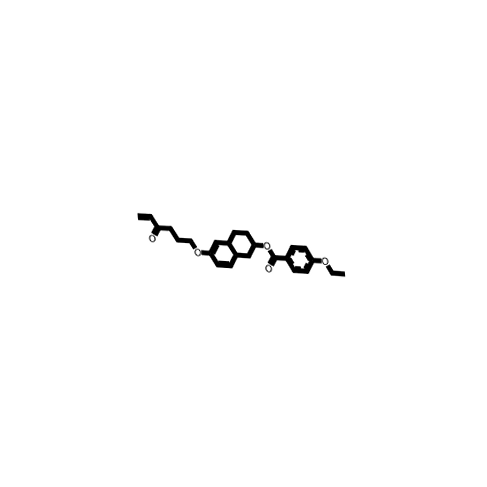 C=CC(=O)CCCOC1=CC2CCC(OC(=O)c3ccc(OCC)cc3)CC2C=C1